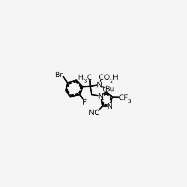 CC(C)(C)N(C(=O)O)C(C)(Cn1cc(C(F)(F)F)nc1C#N)c1cc(Br)ccc1F